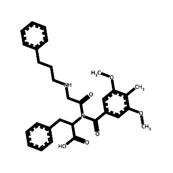 COc1cc(C(=O)N(C(=O)CNCCCc2ccccc2)C(Cc2ccccc2)C(=O)O)cc(OC)c1C